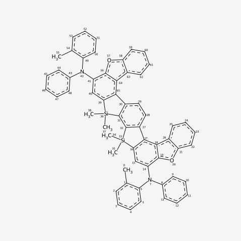 Cc1ccccc1N(c1ccccc1)c1cc2c(c3c1oc1ccccc13)-c1ccc3c(c1[Si]2(C)C)[Si](C)(C)c1cc(N(c2ccccc2)c2ccccc2C)c2oc4ccccc4c2c1-3